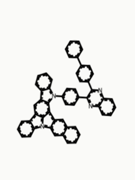 c1ccc(-c2ccc(-c3nc4ccccc4nc3-c3ccc(-n4c5ccccc5c5cc6c7ccccc7n7c8cc9ccccc9cc8c(c54)c67)cc3)cc2)cc1